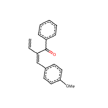 C=CC(=Cc1ccc(OC)cc1)C(=O)c1ccccc1